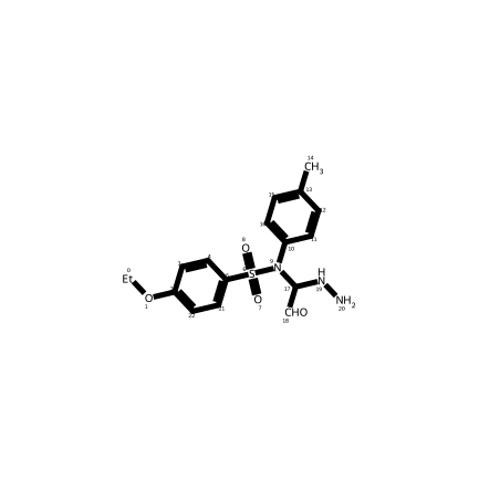 CCOc1ccc(S(=O)(=O)N(c2ccc(C)cc2)C(C=O)NN)cc1